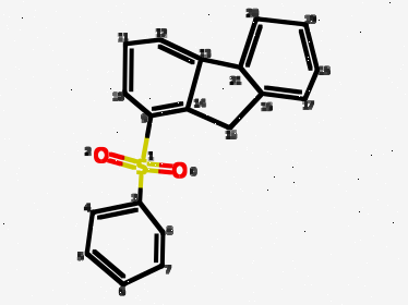 O=S(=O)(c1ccccc1)c1cccc2c1Cc1ccccc1-2